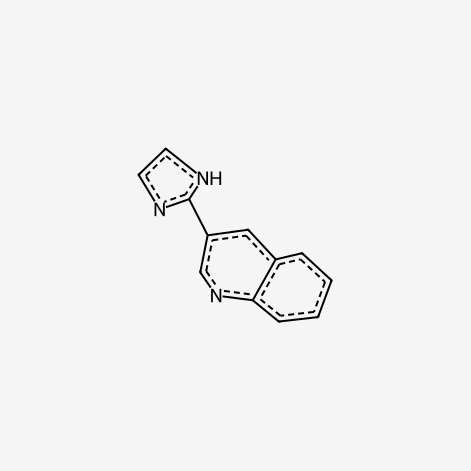 c1ccc2ncc(-c3ncc[nH]3)cc2c1